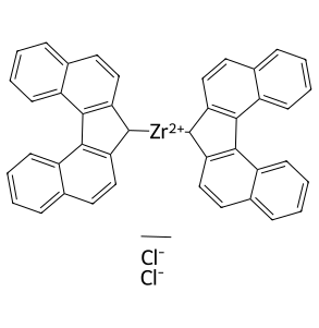 CC.[Cl-].[Cl-].c1ccc2c3c(ccc2c1)[CH]([Zr+2][CH]1c2ccc4ccccc4c2-c2c1ccc1ccccc21)c1ccc2ccccc2c1-3